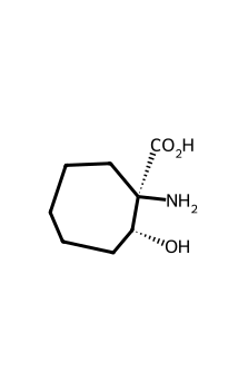 N[C@]1(C(=O)O)CCCCC[C@H]1O